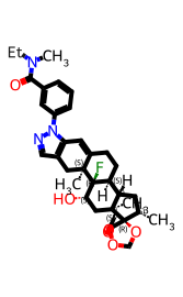 CCN(C)C(=O)c1cccc(-n2ncc3c2C=C2CC[C@H]4[C@@H]5C[C@H](C)[C@@]6(OCOC67COCO7)[C@@]5(C)C[C@H](O)[C@]4(F)[C@@]2(C)C3)c1